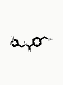 CC(C)(C)Cc1ccc(C(=O)NCc2cn[nH]c2)cc1